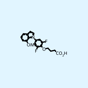 COc1cccc2ccn(-c3cc(F)c(OCCCC(=O)O)c(F)c3)c12